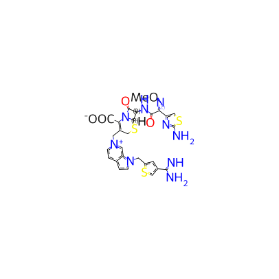 CO/N=C(\C(=O)N[C@@H]1C(=O)N2C(C(=O)[O-])=C(C[n+]3ccc4ccn(Cc5cc(C(=N)N)cs5)c4c3)CS[C@H]12)c1csc(N)n1